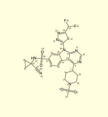 CS(=O)(=O)N1CCC(c2ncnc3c2c2ccc(S(=O)(=O)NC4(C#N)CC4)cc2n3-c2nnc(C(F)F)s2)CC1